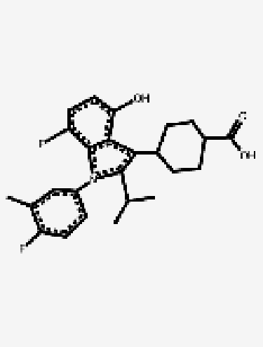 Cc1cc(-n2c(C(C)C)c(C3CCC(C(=O)O)CC3)c3c(O)ccc(F)c32)ccc1F